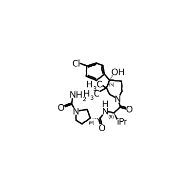 CC(C)[C@@H](NC(=O)[C@@H]1CCN(C(N)=O)C1)C(=O)N1CC[C@](O)(c2ccc(Cl)cc2)C(C)(C)C1